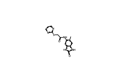 Cc1cc2[nH]c(=O)[nH]c2cc1NC(=O)CSc1ncccn1